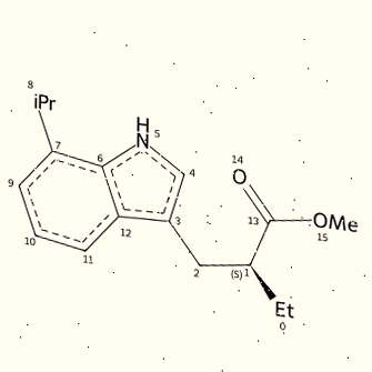 CC[C@@H](Cc1c[nH]c2c(C(C)C)cccc12)C(=O)OC